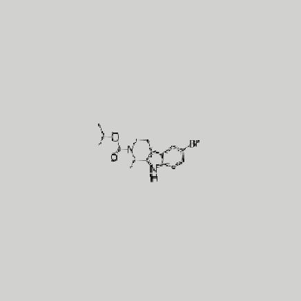 CC(C)OC(=O)N1CCc2c([nH]c3ccc(Br)cc23)C1C